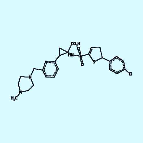 CN1CCN(Cc2cccc(C3CC3(NS(=O)(=O)C3=CCC(c4ccc(Cl)cc4)S3)C(=O)O)c2)CC1